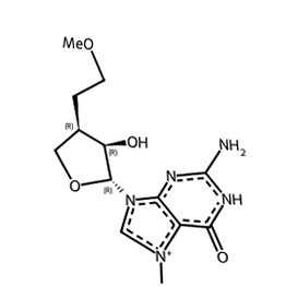 COCC[C@@H]1CO[C@@H](n2c[n+](C)c3c(=O)[nH]c(N)nc32)[C@@H]1O